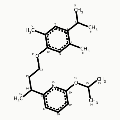 Cc1cc(C(C)C)c(C)cc1OCCC(C)c1cccc(OC(C)C)n1